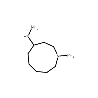 NNC1CCCCCN(P)CC1